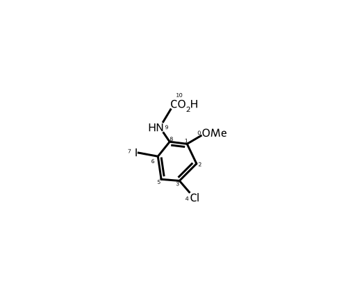 COc1cc(Cl)cc(I)c1NC(=O)O